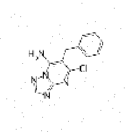 Nc1c(Cc2ccccc2)c(Cl)nc2ncnn12